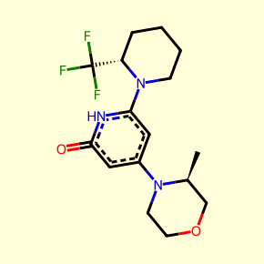 C[C@H]1COCCN1c1cc(N2CCCC[C@H]2C(F)(F)F)[nH]c(=O)c1